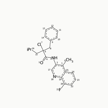 Cc1c(NC(=O)C(Cl)(Cc2ccccc2)CC(C)C)cnc2c(F)cccc12